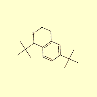 CC(C)(C)c1ccc2c(c1)CCSC2C(C)(C)C